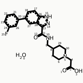 O.O=C(O)CN1CCC(CNC(=O)c2n[nH]c3ccc(-c4cccc(F)c4)cc23)CC1